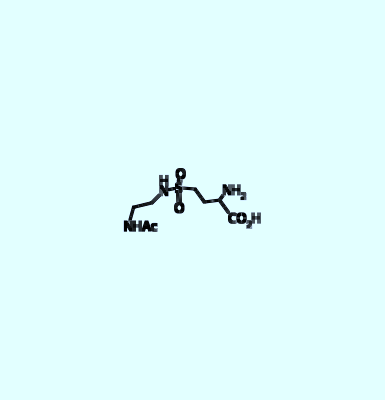 CC(=O)NCCNS(=O)(=O)CCC(N)C(=O)O